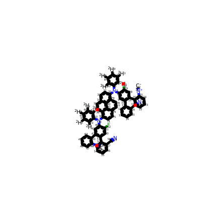 [2H]c1c([2H])c([2H])c(N(c2cc(-c3ccccc3C#N)c(-c3ccccc3[N+]#[C-])cc2F)c2ccc3ccc4c(N(c5cc(-c6ccccc6[N+]#[C-])c(-c6ccccc6C#N)cc5F)c5c([2H])c([2H])c([2H])c([2H])c5[2H])ccc5ccc2c3c54)c([2H])c1[2H]